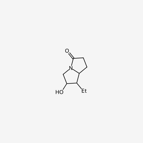 CCC1C(O)CN2C(=O)CCC12